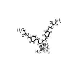 C=CC(=O)OCc1ccc(CC[Si](C)(CCc2ccc(COC(=O)C=C)cc2)O[Si](C)(C)C)cc1